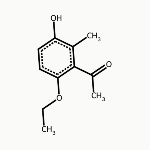 CCOc1ccc(O)c(C)c1C(C)=O